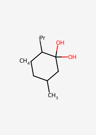 C.CC1CCC(C(C)C)C(O)(O)C1